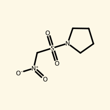 O=[N+]([O-])CS(=O)(=O)N1CCCC1